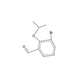 CC(C)Oc1c(Br)cccc1C=O